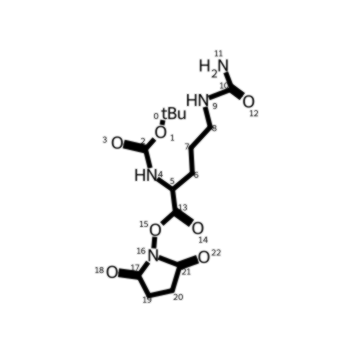 CC(C)(C)OC(=O)NC(CCCNC(N)=O)C(=O)ON1C(=O)CCC1=O